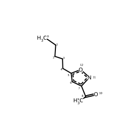 CCCCCc1cc(C(C)=O)no1